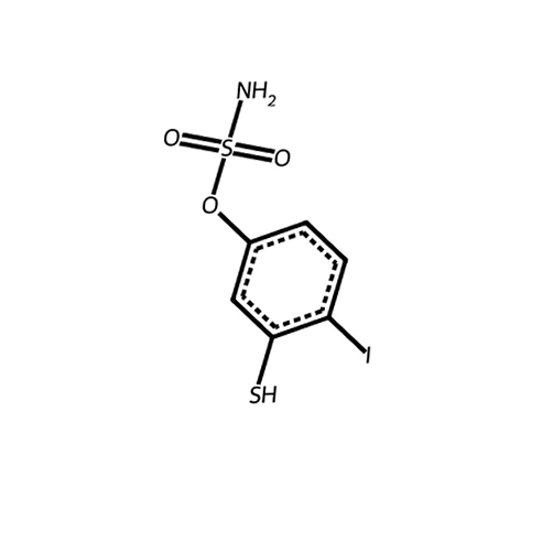 NS(=O)(=O)Oc1ccc(I)c(S)c1